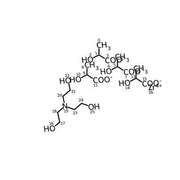 CC(O)C(=O)[O-].CC(O)C(=O)[O-].CC(O)C(=O)[O-].CC(O)C(=O)[O-].OCCN(CCO)CCO.[Zr+4]